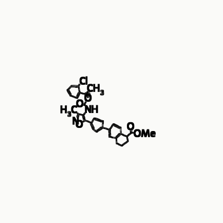 COC(=O)C1CCCc2cc(-c3ccc(-c4onc(C)c4NC(=O)O[C@H](C)c4ccccc4Cl)cc3)ccc21